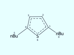 CCCCc1ccc(CCCC)s1